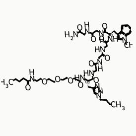 CCCCC(=O)NCCOCCOCCOCC(=O)N[C@@H](Cc1cn(CCCC)nn1)C(=O)NCC(=O)NCC(=O)NCC(=O)N[C@H](Cc1cn(C)c2ccccc12)C(=O)NCC(=O)NCC(N)=O